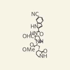 COC(=O)[C@H](C[C@@H]1CCCNC1=O)NC[C@@](C=O)(CC1CC1)NC(=O)c1cc2ccc(C#N)cc2[nH]1